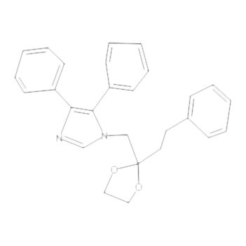 c1ccc(CCC2(Cn3cnc(-c4ccccc4)c3-c3ccccc3)OCCO2)cc1